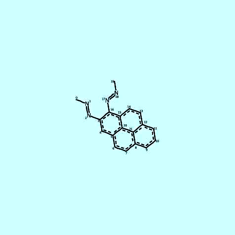 CN=Nc1cc2ccc3cccc4ccc(c1N=NC)c2c34